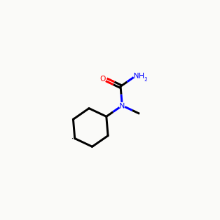 CN(C(N)=O)C1CC[CH]CC1